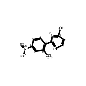 Oc1ccnc(-c2ccc([N+](=S)[S-])cc2C(Cl)(Cl)Cl)n1